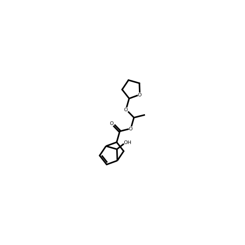 CC(OC(=O)C1CC2C=CC1C2O)OC1CCCO1